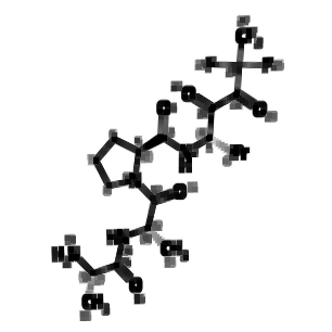 CC(C)[C@H](NC(=O)[C@@H]1CCCN1C(=O)[C@H](C)NC(=O)[C@H](C)N)C(=O)C(=O)C(F)(F)C(F)(F)F